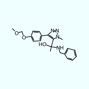 COCOc1ccc(-c2nnn(C)c2C(C)(O)NCc2ccccc2)cc1